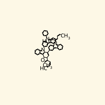 C#C/C=C\C1=C(C)OC2c3c(n(-c4ccc5c(c4)c4ccccc4n5-c4ccccc4)c4ccccc34)C(c3ccc4c(c3)c3ccccc3n4/C(C=C)=C/C=C\C)=CC12